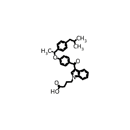 CC(C)Cc1ccc([C@H](C)Oc2ccc(C(=O)c3cn(CCCC(=O)O)c4ccccc34)cc2)cc1